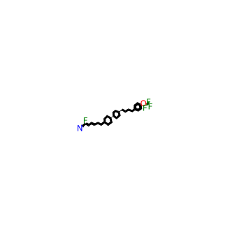 N#C/C(F)=C/C=C/CCC1CCC([C@H]2CC[C@H](CCCCc3ccc(OC(F)(F)F)cc3)CC2)CC1